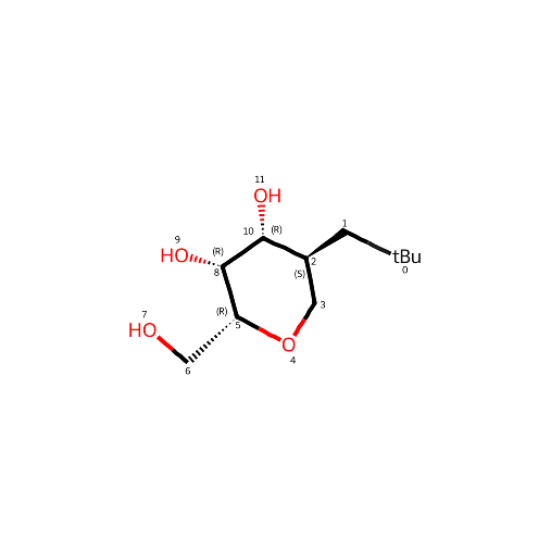 CC(C)(C)C[C@H]1CO[C@H](CO)[C@H](O)[C@@H]1O